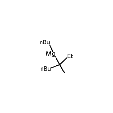 CCC[CH2][Mg][C](C)(CC)CCCC